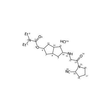 CCN(CC)C(=O)OC1CC2CC(NCC(=O)N3CCCC3C#N)CC2C1.Cl